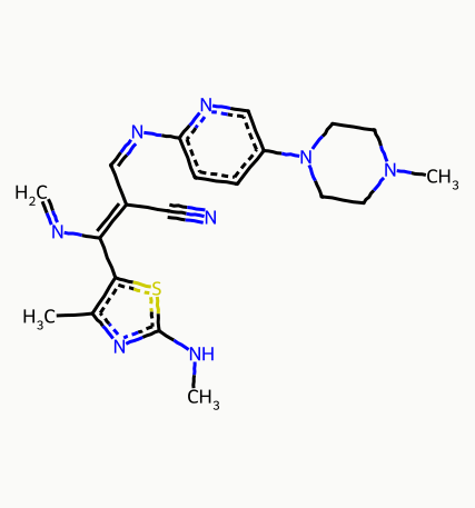 C=N/C(=C(C#N)\C=N/c1ccc(N2CCN(C)CC2)cn1)c1sc(NC)nc1C